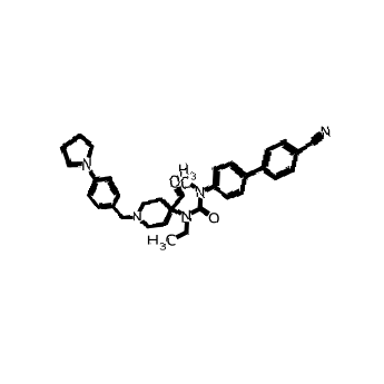 CCN(C(=O)N(C)c1ccc(-c2ccc(C#N)cc2)cc1)C1(C=O)CCN(Cc2ccc(N3CCCC3)cc2)CC1